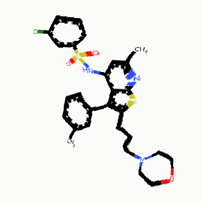 Cc1cccc(-c2c(CCCN3CCOCC3)sc3nc(C)cc(NS(=O)(=O)c4cccc(Cl)c4)c23)c1